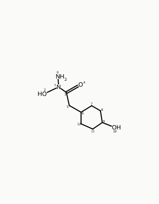 NN(O)C(=O)CC1CCC(O)CC1